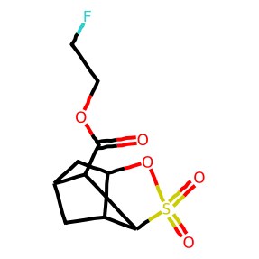 O=C(OCCF)C1C2CC3OS(=O)(=O)C1C3C2